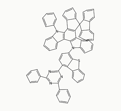 c1ccc(-c2nc(-c3ccccc3)nc(-c3ccc(-n4c5ccccc5c5c6c(c7c(c8ccccc8n7-c7ccccc7)c54)-c4ccccc4C64c5ccccc5-c5ccccc54)c4sc5ccccc5c34)n2)cc1